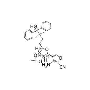 CC1(C)O[C@@H]2[C@H](O1)[C@@H](CCC(C)(C)[Si](O)(c1ccccc1)c1ccccc1)O[C@H]2c1coc(C#N)c1N